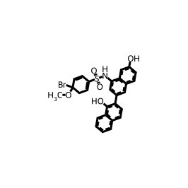 COC1(Br)C=CC(S(=O)(=O)Nc2cc(-c3ccc4ccccc4c3O)cc3ccc(O)cc23)=CC1